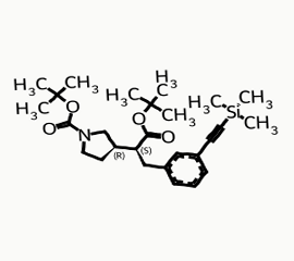 CC(C)(C)OC(=O)[C@@H](Cc1cccc(C#C[Si](C)(C)C)c1)[C@H]1CCN(C(=O)OC(C)(C)C)C1